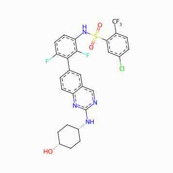 O=S(=O)(Nc1ccc(F)c(-c2ccc3nc(N[C@H]4CC[C@@H](O)CC4)ncc3c2)c1F)c1cc(Cl)ccc1C(F)(F)F